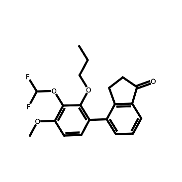 CCCOc1c(-c2cccc3c2CCC3=O)ccc(OC)c1OC(F)F